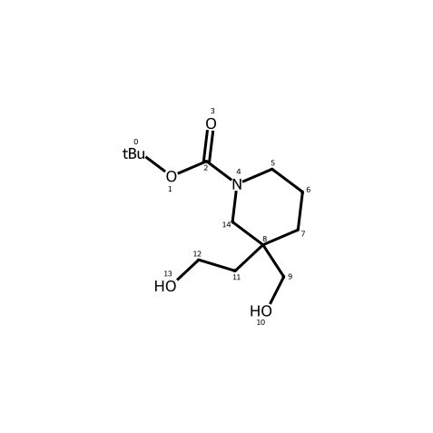 CC(C)(C)OC(=O)N1CCCC(CO)(CCO)C1